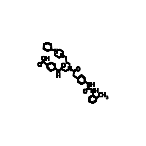 Cc1ccccc1NC(=O)Nc1ccc(CC(=O)N(CCCN2CCN(c3ccccc3)CC2)CC(=O)Nc2ccc(C(=O)O)cc2)cc1